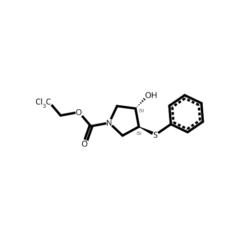 O=C(OCC(Cl)(Cl)Cl)N1C[C@H](Sc2ccccc2)[C@@H](O)C1